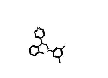 Cc1cc(C)cc(SCC(c2ccncc2)c2ccccc2C)c1